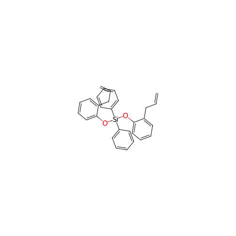 C=CCc1ccccc1O[Si](Oc1ccccc1CC=C)(c1ccccc1)c1ccccc1